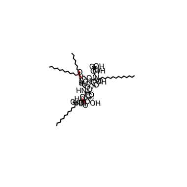 CCCCCCCCCCCCCC(=O)N[C@H]1[C@H](OC[C@H]2O[C@H](O)[C@](CCOP(=O)(O)O)(NC(=O)CCCCCCCCCCCCC)[C@@H](OC(=O)CNC(=O)CCCCCCCCCCC)[C@@H]2O)O[C@H](CO)[C@@H](OP(=O)(O)O)[C@@H]1OC(=O)CNC(=O)CCCCCCCCCCC